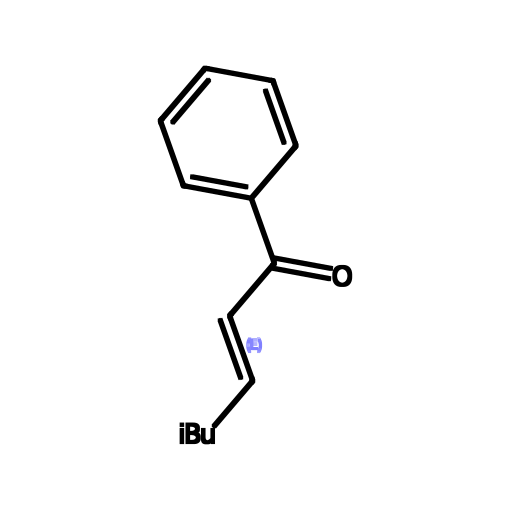 CCC(C)/C=C/C(=O)c1ccccc1